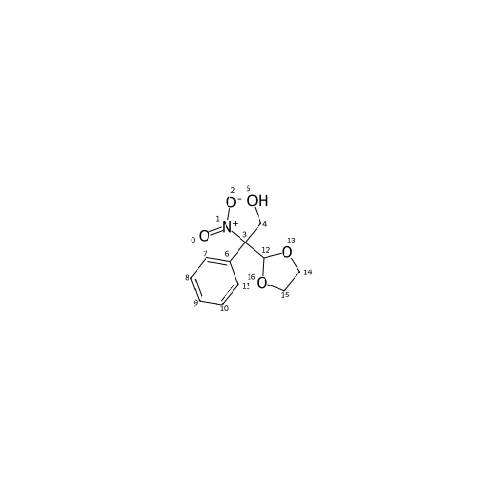 O=[N+]([O-])C(CO)(c1ccccc1)C1OCCO1